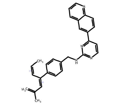 C=C(C)/C=C(\C=C/C)c1ccc(CNc2nccc(-c3ccc4ncccc4c3)n2)cc1